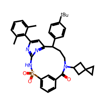 Cc1cccc(C)c1-c1cc2nc(n1)NS(=O)(=O)c1cccc(c1)C(=O)N(C1CC3(CC3)C1)CCC2c1ccc(C(C)(C)C)cc1